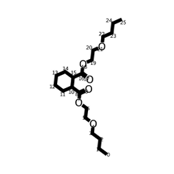 CCCCOCCOC(=O)C1CCCCC1C(=O)OCCOCCCC